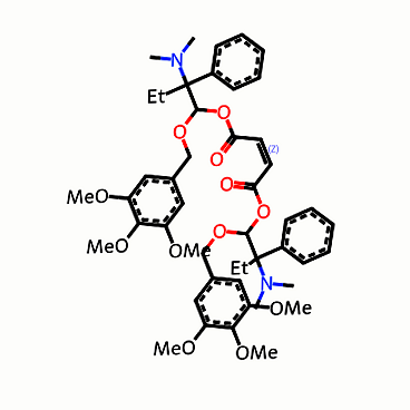 CCC(c1ccccc1)(C(OCc1cc(OC)c(OC)c(OC)c1)OC(=O)/C=C\C(=O)OC(OCc1cc(OC)c(OC)c(OC)c1)C(CC)(c1ccccc1)N(C)C)N(C)C